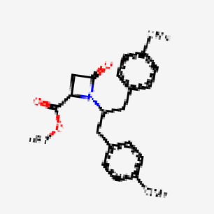 CCCCOC(=O)C1CC(=O)N1C(Cc1ccc(OC)cc1)Cc1ccc(OC)cc1